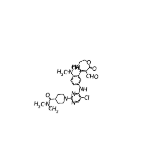 CN(C)C(=O)C1CCN(c2ncc(Cl)c(Nc3ccc(N(C)C)c(C4=C(C=O)C(=O)OCCN4)c3)n2)CC1